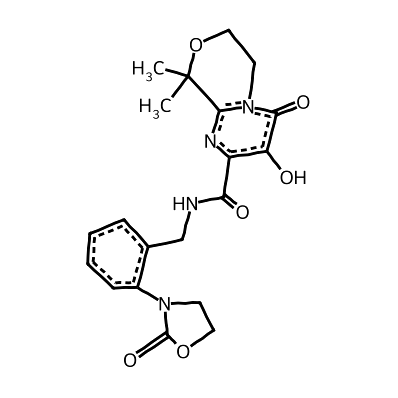 CC1(C)OCCn2c1nc(C(=O)NCc1ccccc1N1CCOC1=O)c(O)c2=O